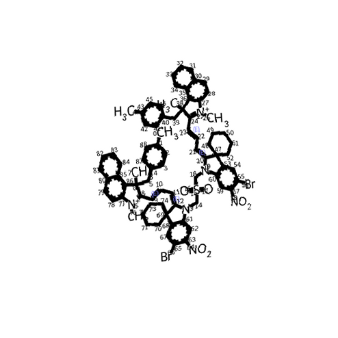 Cc1ccc(CC2(C)C(/C=C/C=C3/N(CS(=O)(=O)CN4/C(=C/C=C/C5=[N+](C)c6ccc7ccccc7c6C5(C)Cc5ccc(C)cc5)C5(CCCCC5)c5cc(Br)c([N+](=O)[O-])cc54)c4cc([N+](=O)[O-])c(Br)cc4C34CCCCC4)=[N+](C)c3ccc4ccccc4c32)cc1